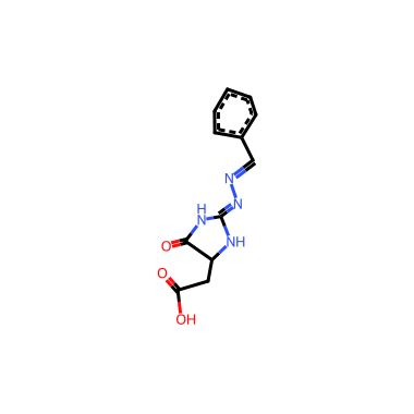 O=C(O)CC1NC(=NN=Cc2ccccc2)NC1=O